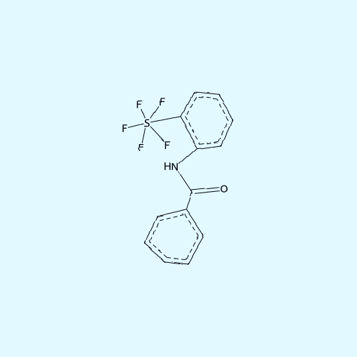 O=C(Nc1ccccc1S(F)(F)(F)(F)F)c1ccccc1